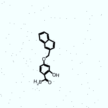 BC(=O)c1ccc(OCc2ccc3ccccc3c2)cc1O